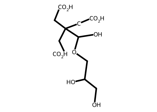 O=C(O)CC(CC(=O)O)(CC(=O)O)C(O)OCC(O)CO